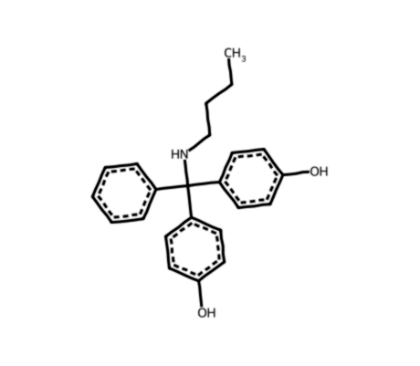 CCCCNC(c1ccccc1)(c1ccc(O)cc1)c1ccc(O)cc1